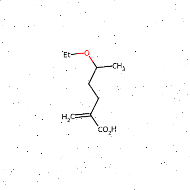 C=C(CCC(C)OCC)C(=O)O